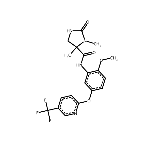 COc1ccc(Oc2ccc(C(F)(F)F)cn2)cc1NC(=O)C1(C)CNC(=O)N1C